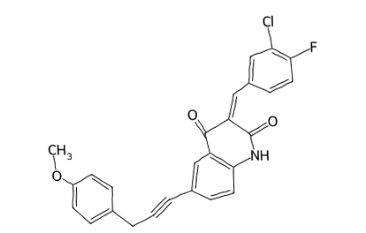 COc1ccc(CC#Cc2ccc3c(c2)C(=O)/C(=C/c2ccc(F)c(Cl)c2)C(=O)N3)cc1